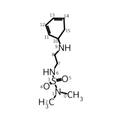 CN(C)S(=O)(=O)NCCNC1C=CC=CC1